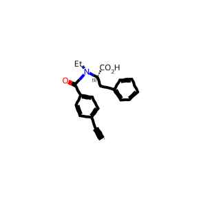 [C]#Cc1ccc(C(=O)N(CC)[C@@H](Cc2ccccc2)C(=O)O)cc1